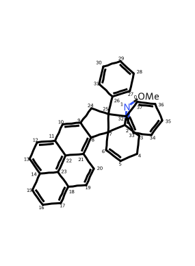 CON=C1CCC=CC12c1c(cc3ccc4cccc5ccc1c3c45)CC2(c1ccccc1)c1ccccc1